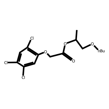 CCCCOCC(C)OC(=O)COc1cc(Cl)c(Cl)cc1Cl